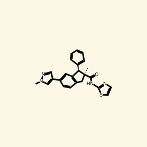 Cn1cc(-c2ccc3c(c2)[C@@H](c2ccccc2)[C@@](C)(C(=O)Nc2nccs2)C3)cn1